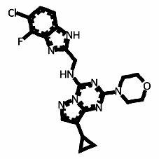 Fc1c(Cl)ccc2[nH]c(CNc3nc(N4CCOCC4)nc4c(C5CC5)cnn34)nc12